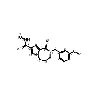 COc1cccc(CN2CCCn3cc(C(=O)NO)cc3C2=O)c1